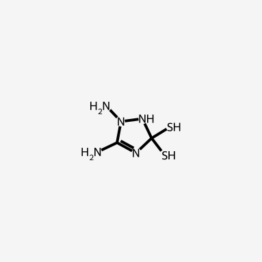 NC1=NC(S)(S)NN1N